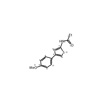 CCC(=O)Nc1nc(-c2ccc(OC)cc2)cs1